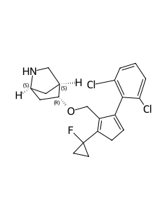 FC1(C2=C(CO[C@@H]3C[C@@H]4C[C@H]3CN4)C(c3c(Cl)cccc3Cl)=CC2)CC1